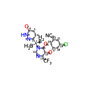 BC(B)(c1ccc(=O)[nH]n1)n1cnc(C(F)(F)F)c(Oc2cc(Cl)cc(C#N)c2)c1=O